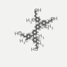 Cc1cc(N(c2ccc(CCCO)c(C)c2)c2ccc(-c3ccc(N(c4ccc(CCCO)c(C)c4)c4ccc(CCCO)c(C)c4)c(C)c3)cc2C)ccc1CCCO